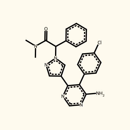 CN(C)C(=O)C(c1ccccc1)n1cc(-c2ncnc(N)c2-c2ccc(Cl)cc2)cn1